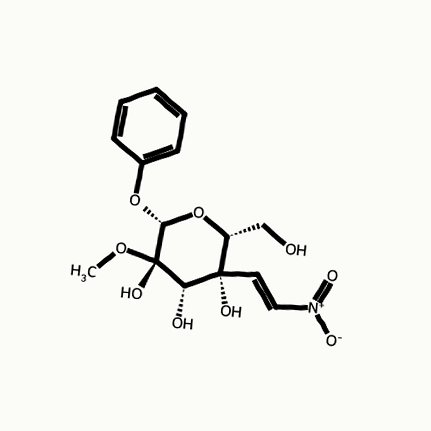 CO[C@]1(O)[C@H](Oc2ccccc2)O[C@H](CO)[C@@](O)(C=C[N+](=O)[O-])[C@@H]1O